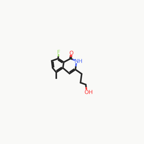 Cc1ccc(F)c2c(=O)[nH]c(CCCO)cc12